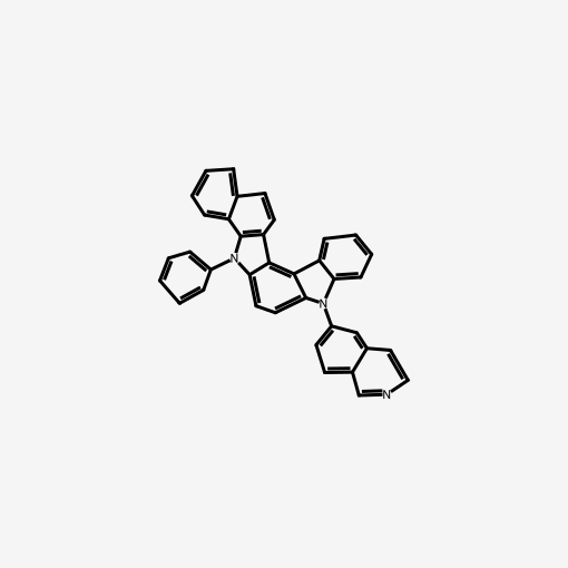 c1ccc(-n2c3ccc4c(c5ccccc5n4-c4ccc5cnccc5c4)c3c3ccc4ccccc4c32)cc1